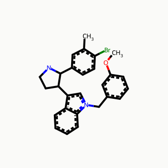 COc1cccc(Cn2cc(C3CC[N]C3c3ccc(Br)c(C)c3)c3ccccc32)c1